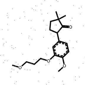 COCCCOc1cc(C2CCC(C)(C)C2=O)ccc1OC